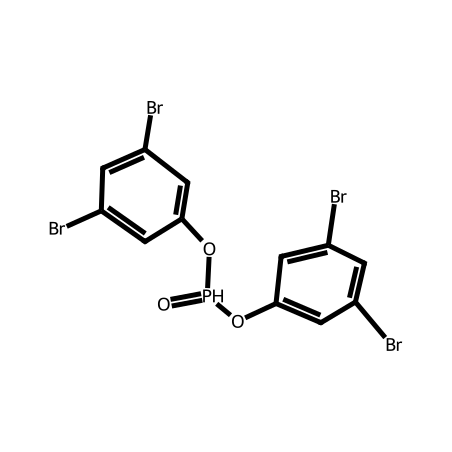 O=[PH](Oc1cc(Br)cc(Br)c1)Oc1cc(Br)cc(Br)c1